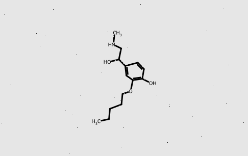 CCCCCOc1cc(C(O)CNC)ccc1O